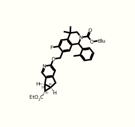 CCOC(=O)[C@H]1[C@@H]2Cc3cc(OCc4cc5c(cc4F)C(C)(C)CN(C(=O)OC(C)(C)C)C5c4ccccc4C)ncc3[C@@H]21